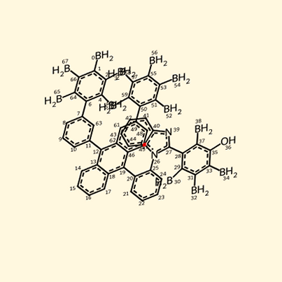 Bc1c(B)c(B)c(-c2cccc(-c3c4ccccc4c(-c4ccccc4-n4c(-c5c(B)c(B)c(B)c(O)c5B)nc5ccccc54)c4ccc(-c5c(B)c(B)c(B)c(B)c5B)cc34)c2)c(B)c1B